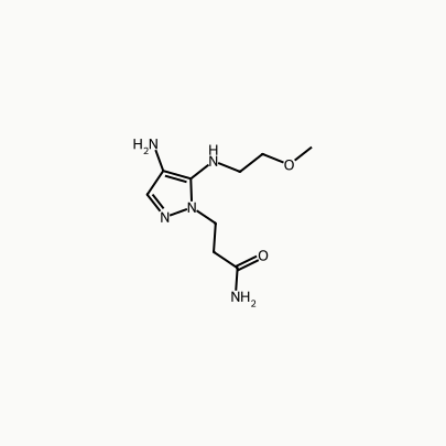 COCCNc1c(N)cnn1CCC(N)=O